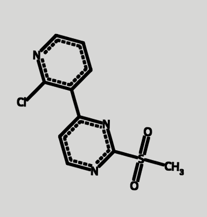 CS(=O)(=O)c1nccc(-c2cccnc2Cl)n1